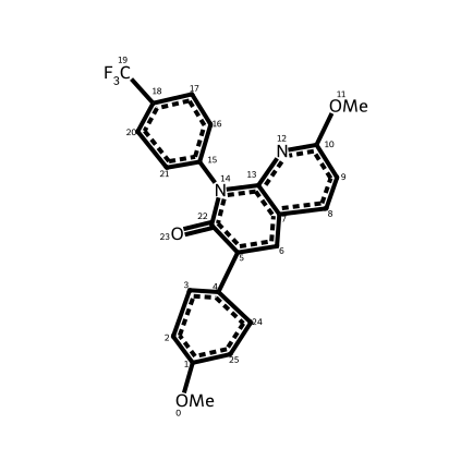 COc1ccc(-c2cc3ccc(OC)nc3n(-c3ccc(C(F)(F)F)cc3)c2=O)cc1